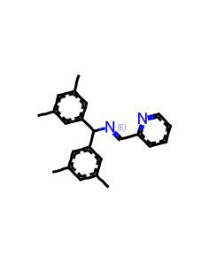 Cc1cc(C)cc(C(/N=C/c2ccccn2)c2cc(C)cc(C)c2)c1